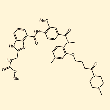 COc1cc(C(=O)N(C)c2ccc(C)cc2OCCCC(=O)N2CCN(C)CC2)ccc1NC(=O)c1cccc2[nH]c(CNC(=O)OC(C)(C)C)nc12